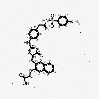 Cc1ccc(S(=O)(=O)NC(=O)Cc2ccc(NC3=NC(=O)/C(=C\c4cc5ccccc5cc4OCC(=O)O)S3)cc2)cc1